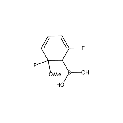 COC1(F)C=CC=C(F)C1B(O)O